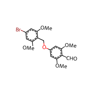 COc1cc(OCc2c(OC)cc(Br)cc2OC)cc(OC)c1C=O